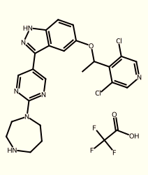 CC(Oc1ccc2[nH]nc(-c3cnc(N4CCCNCC4)nc3)c2c1)c1c(Cl)cncc1Cl.O=C(O)C(F)(F)F